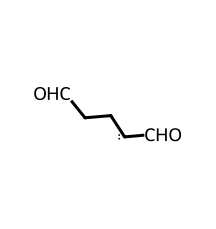 O=C[C]CCC=O